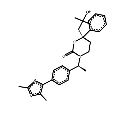 Cc1nc(C)c(-c2ccc([C@H](C)N3CC[C@](CC(C)(C)O)(c4ccccc4)OC3=O)cc2)s1